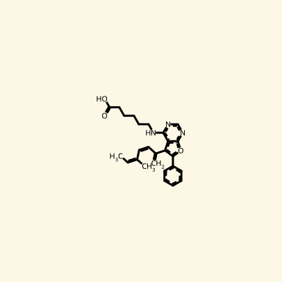 C=C(/C=C\C(C)=C/C)c1c(-c2ccccc2)oc2ncnc(NCCCCCC(=O)O)c12